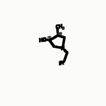 CC(C)CN1C[C@H](C)[C@@H](O)C1